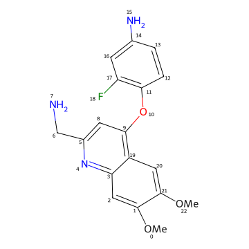 COc1cc2nc(CN)cc(Oc3ccc(N)cc3F)c2cc1OC